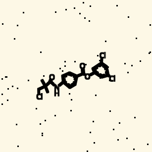 CC(C)(CCl)C(=O)Nc1ccc(C(=O)Oc2cc(Cl)cc(Cl)c2)cc1